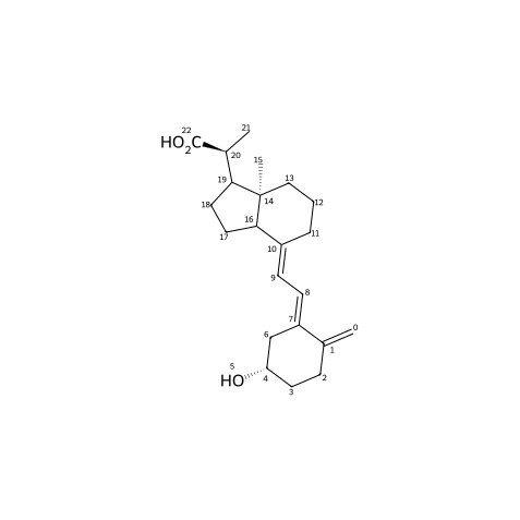 C=C1CC[C@H](O)CC1=CC=C1CCC[C@@]2(C)C1CCC2[C@H](C)C(=O)O